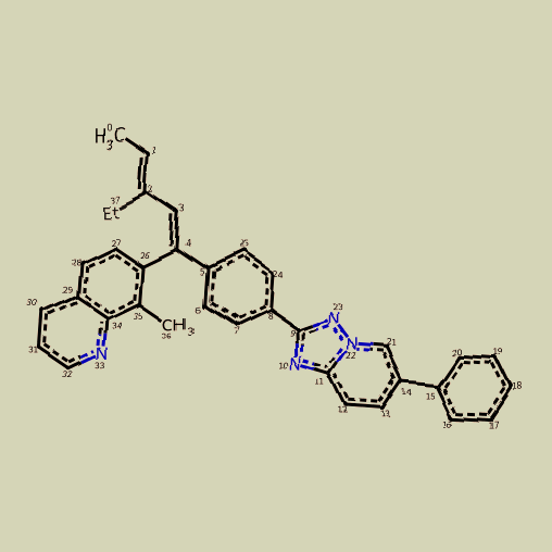 C/C=C(/C=C(/c1ccc(-c2nc3ccc(-c4ccccc4)cn3n2)cc1)c1ccc2cccnc2c1C)CC